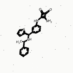 C[C@@H](NC(c1cccc(Nc2c(N)c(=O)c2=O)c1)c1cccs1)c1ccccc1